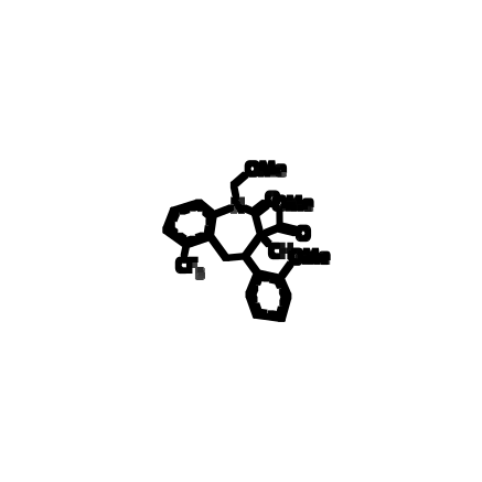 COCN1C(=O)C(C)(C(=O)OC)C(c2ccccc2OC)Cc2c1cccc2C(F)(F)F